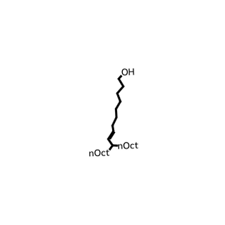 CCCCCCCCC(C=CCCCCCCCO)CCCCCCCC